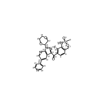 CS(=O)(=O)Nc1c(F)ccc(C(=O)c2nn(C3COCCO3)c3ncc(-c4ccncc4)cc23)c1F